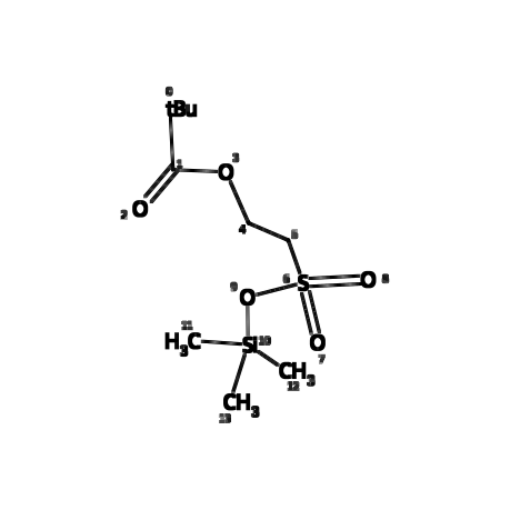 CC(C)(C)C(=O)OCCS(=O)(=O)O[Si](C)(C)C